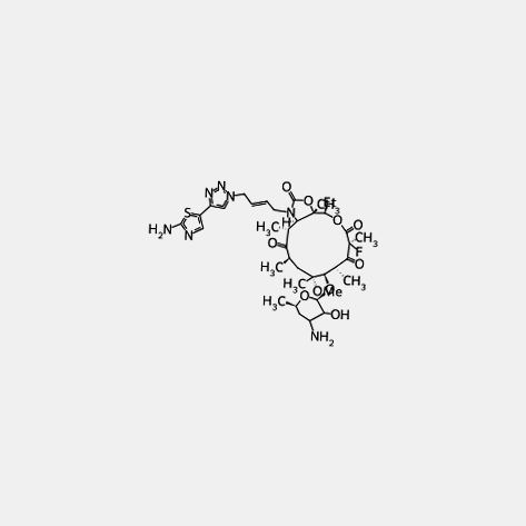 CC[C@H]1OC(=O)[C@@](C)(F)C(=O)[C@H](C)[C@@H](O[C@@H]2O[C@H](C)CC(N)C2O)[C@](C)(OC)C[C@@H](C)C(=O)[C@H](C)[C@H]2N(C/C=C/Cn3cc(-c4cnc(N)s4)nn3)C(=O)O[C@]12C